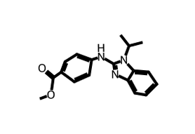 COC(=O)c1ccc(Nc2nc3ccccc3n2C(C)C)cc1